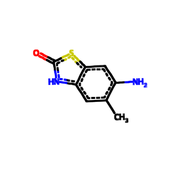 Cc1cc2[nH]c(=O)sc2cc1N